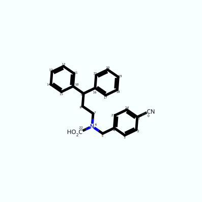 N#Cc1ccc(CN(CCC(c2ccccc2)c2ccccc2)C(=O)O)cc1